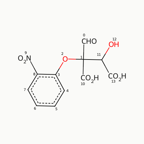 O=CC(Oc1ccccc1[N+](=O)[O-])(C(=O)O)C(O)C(=O)O